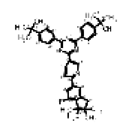 CC(C)(C)c1ccc(-c2nc(-c3ccc(C(C)(C)C)cc3)nc(-c3ccc(-c4cc(F)c5c(c4)CC(C)(C)C5(C)C)nc3)n2)cc1